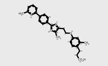 Cc1cccc(-c2ccc(-c3nc(CCOc4ccc(CCC(=O)O)c(C)c4)c(C)o3)cc2)n1